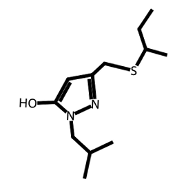 CCC(C)SCc1cc(O)n(CC(C)C)n1